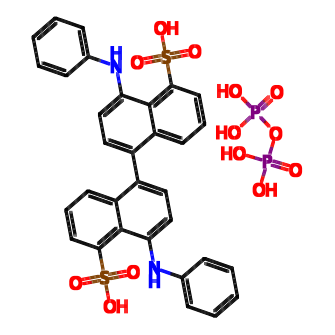 O=P(O)(O)OP(=O)(O)O.O=S(=O)(O)c1cccc2c(-c3ccc(Nc4ccccc4)c4c(S(=O)(=O)O)cccc34)ccc(Nc3ccccc3)c12